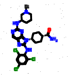 CCN1CCC[C@@H](Nc2ncc3nc(Nc4c(Cl)cc(Cl)cc4Cl)n([C@H]4CC[C@@H](C(N)=O)CC4)c3n2)C1